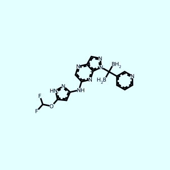 BC(B)(c1cccnc1)n1ncc2ncc(Nc3cc(OC(F)F)[nH]n3)nc21